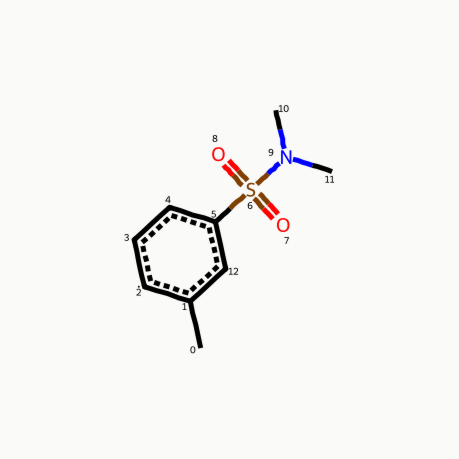 Cc1[c]ccc(S(=O)(=O)N(C)C)c1